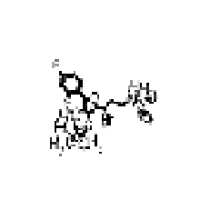 C[Si](C)(C)Oc1c(C(Br)CCN[SH](=O)=O)oc(-c2ccc(F)cc2F)c1O